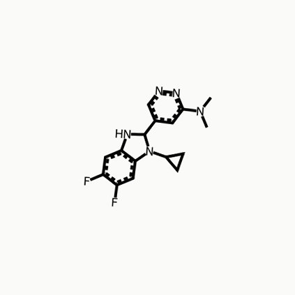 CN(C)c1cc(C2Nc3cc(F)c(F)cc3N2C2CC2)cnn1